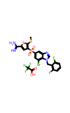 CSc1sc(C(=N)N)cc1S(=O)(=O)c1cc(Br)c2c(c1)ncn2Cc1c(F)cccc1F.O=C(O)C(F)(F)F